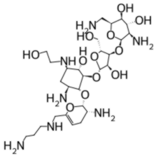 NCCCNCC1=CC[C@@H](N)[C@@H](O[C@H]2[C@H](O[C@@H]3O[C@H](CO)[C@@H](O[C@H]4O[C@@H](CN)[C@@H](O)[C@H](O)[C@H]4N)[C@H]3O)[C@@H](O)[C@H](NCCO)C[C@@H]2N)O1